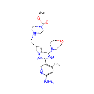 CC(C)(C)OC(=O)N1CCN(Cc2cc3n(c2)N=C(c2cnc(N)cc2C(F)(F)F)NC3N2CCOCC2)CC1